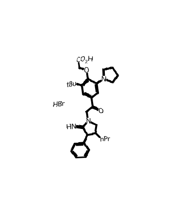 Br.CCCC1CN(CC(=O)c2cc(N3CCCC3)c(OCC(=O)O)c(C(C)(C)C)c2)C(=N)C1c1ccccc1